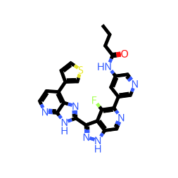 CCCC(=O)Nc1cncc(-c2ncc3[nH]nc(-c4nc5c(-c6ccsc6)ccnc5[nH]4)c3c2F)c1